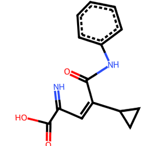 N=C(/C=C(\C(=O)Nc1ccccc1)C1CC1)C(=O)O